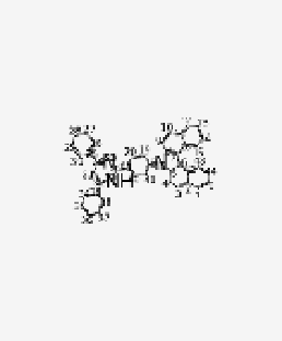 C1=CC2=CC=C3C(c4c(ccc5ccccc45)N3c3ccc(C4N=C(C5=CCCC=C5)C=C(c5ccccc5)N4)cc3)C2C=C1